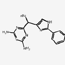 CCCCC(c1c[nH]c(-c2ccccc2)n1)c1nc(N)nc(N)n1